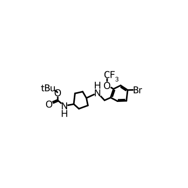 CC(C)(C)OC(=O)NC1CCC(NCc2ccc(Br)cc2OC(F)(F)F)CC1